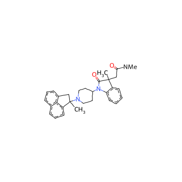 CNC(=O)CC1(C)C(=O)N(C2CCN(C3(C)Cc4cccc5cccc3c45)CC2)c2ccccc21